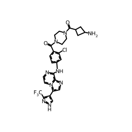 NC1CC(C(=O)N2CCN(C(=O)c3ccc(Nc4nccn5c(-c6c[nH]nc6C(F)(F)F)cnc45)cc3Cl)CC2)C1